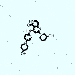 O=c1[nH]ccc2nc(N3CCCC(O)C3)cc(Nc3ccc(N4CCC(O)CC4)cn3)c12